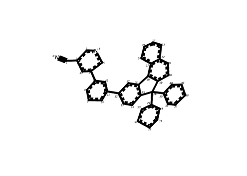 N#Cc1cncc(-c2cccc(-c3ccc4c(c3)-c3c(ccc5ccccc35)C4(c3ccccc3)c3ccccc3)c2)c1